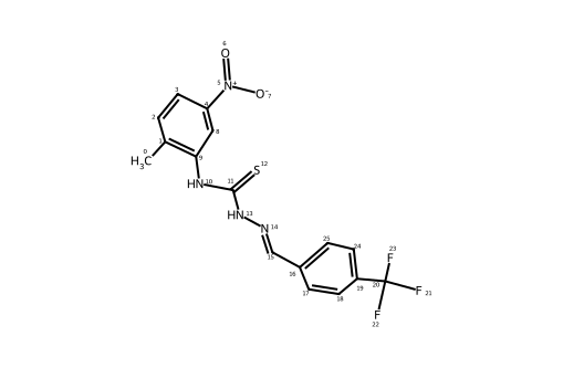 Cc1ccc([N+](=O)[O-])cc1NC(=S)NN=Cc1ccc(C(F)(F)F)cc1